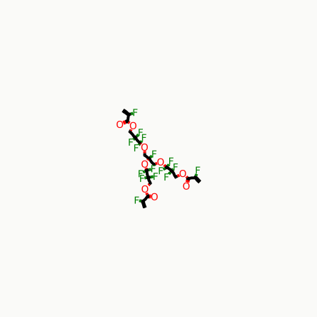 C=C(F)C(=O)OCC(F)(F)C(F)(F)OCC(F)(COC(F)(F)C(F)(F)COC(=O)C(=C)F)OC(F)(F)C(F)(F)COC(=O)C(=C)F